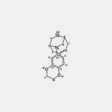 C1=C\CC2CNC(C/1)CN2c1ccc2c(c1)OCCO2